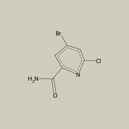 NC(=O)c1cc(Br)cc(Cl)n1